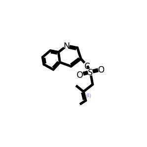 C/C=C(\C)CS(=O)(=O)Cc1cnc2ccccc2c1